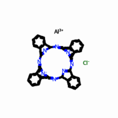 [Al+3].[Cl-].c1ccc2c(c1)C1=NC2N=c2[n-]c(c3ccccc23)=NC2=NC(N=c3[n-]c(c4ccccc34)=N1)c1ccccc12